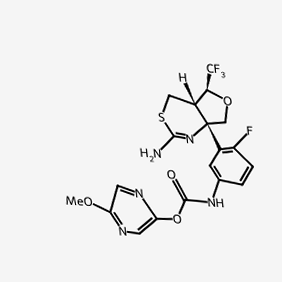 COc1cnc(OC(=O)Nc2ccc(F)c([C@]34CO[C@H](C(F)(F)F)[C@H]3CSC(N)=N4)c2)cn1